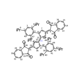 CC(C)c1cc(C(C)C)c(-c2cc(=C3C(=O)c4ccccc4C3=O)s/c2=c2/sc(=C3C(=O)c4ccccc4C3=O)cc2-c2c(C(C)C)cc(C(C)C)cc2C(C)C)c(C(C)C)c1